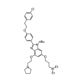 CCCCn1c(-c2ccc(OCCc3ccc(Cl)cc3)cc2)nc2c(OCCN3CCCC3)cc(OCCCN(CC)CC)cc21